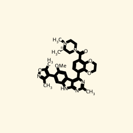 COc1cc2c(cc1-c1c(C)noc1C)[nH]c1nc(C)nc(-c3ccc(C(=O)N4CCN(C)[C@@H](C)C4)c4c3OCCO4)c12